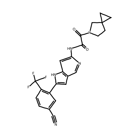 N#Cc1ccc(C(F)(F)F)c(-c2cc3cnc(NC(=O)C(=O)N4CCC5(CC5)C4)cc3[nH]2)c1